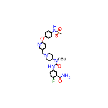 CCCCN(C(=O)Nc1ccc(F)c(C(N)=O)c1)C1CCN(Cc2ccc(Oc3ccc(NS(C)(=O)=O)cc3)nc2)CC1